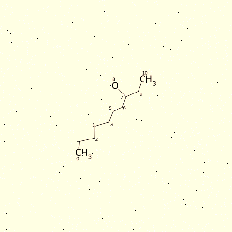 CCCCCCCC([O])CC